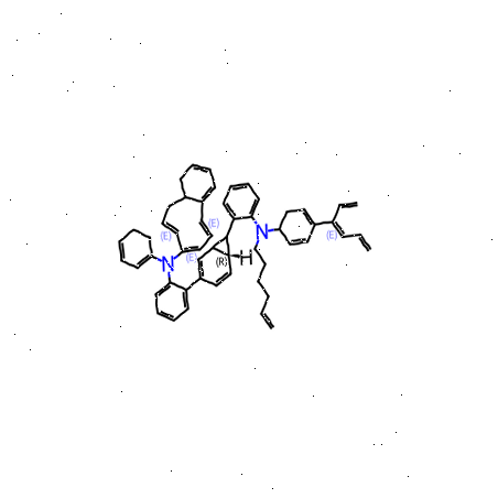 C=C/C=C(\C=C)C1=CCC(N(CCCCC=C)c2ccccc2C2C3C=C(c4ccccc4N(C4=CC=CCC4)C4=C/C=C/C5=CC=CCC5C\C=C\4)C=C[C@H]32)C=C1